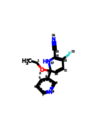 CCOC1(c2cccnc2)C=CC(F)=C(C#N)N1